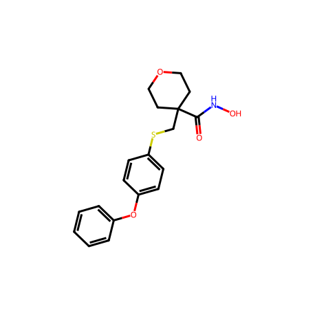 O=C(NO)C1(CSc2ccc(Oc3ccccc3)cc2)CCOCC1